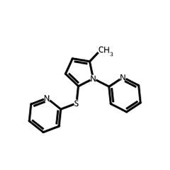 Cc1ccc(Sc2ccccn2)n1-c1ccccn1